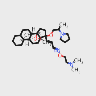 CC(COC1(C=C/C=N/OCCN(C)C)CC[C@@]2(O)[C@@H]3CCC4CCCC[C@]4(C)[C@@H]3CC[C@]12C)N1CCCC1